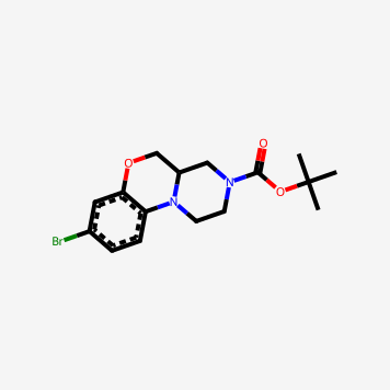 CC(C)(C)OC(=O)N1CCN2c3ccc(Br)cc3OCC2C1